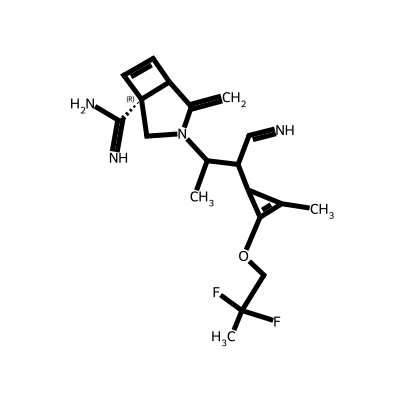 C=C1C2C=C[C@]2(C(=N)N)CN1C(C)C(C=N)C1C(C)=C1OCC(C)(F)F